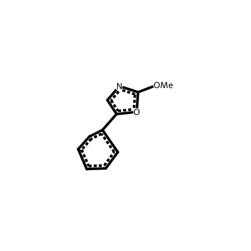 COc1ncc(-c2ccccc2)o1